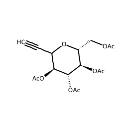 C#CC1O[C@H](COC(C)=O)[C@@H](OC(C)=O)[C@H](OC(C)=O)[C@H]1OC(C)=O